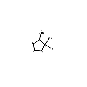 OC1CCCC1(F)F